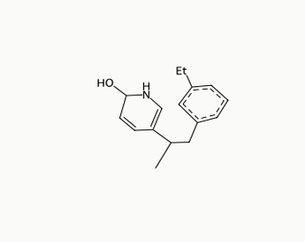 CCc1cccc(CC(C)C2=CNC(O)C=C2)c1